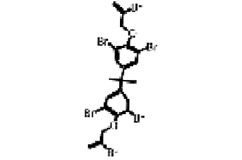 C=C(Br)COC1=C(Br)C=C(C(C)(C)c2cc(Br)c(OCC(=C)Br)c(Br)c2)CC1Br